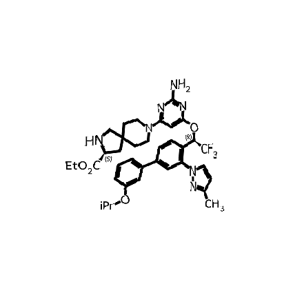 CCOC(=O)[C@@H]1CC2(CCN(c3cc(O[C@H](c4ccc(-c5cccc(OC(C)C)c5)cc4-n4ccc(C)n4)C(F)(F)F)nc(N)n3)CC2)CN1